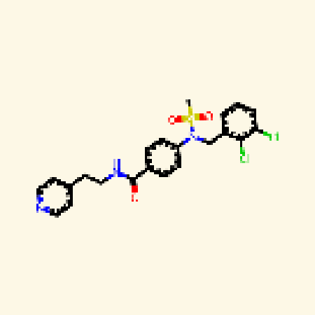 CS(=O)(=O)N(Cc1cccc(Cl)c1Cl)c1ccc(C(=O)NCCc2ccncc2)cc1